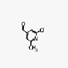 Cc1cc(C=O)cc(Cl)n1